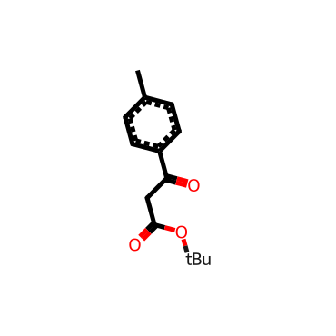 Cc1ccc(C(=O)CC(=O)OC(C)(C)C)cc1